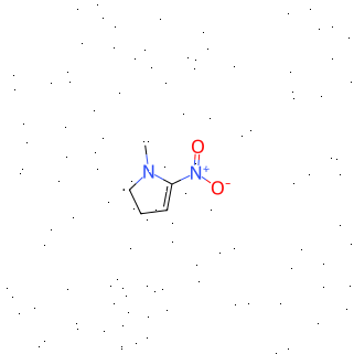 CN1[CH]CC=C1[N+](=O)[O-]